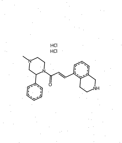 CN1CCN(C(=O)/C=C/c2cccc3c2CCNC3)C(c2ccccc2)C1.Cl.Cl